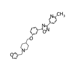 Cc1ccc(-c2noc(-c3cccc(OCC4CCN(Cc5ccoc5)CC4)c3)n2)cn1